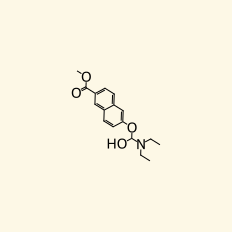 CCN(CC)C(O)Oc1ccc2cc(C(=O)OC)ccc2c1